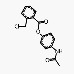 CC(=O)Nc1ccc(OC(=O)c2ccccc2CCl)cc1